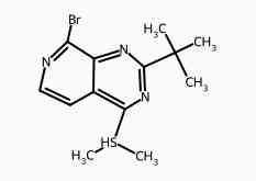 C[SH](C)c1nc(C(C)(C)C)nc2c(Br)nccc12